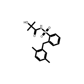 Cc1ccc(C)c(Cc2ccccc2S(=O)(=O)NC(=O)C(C)(C)O)c1